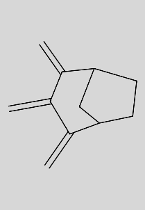 C=C1C(=C)C2CCC(C2)C1=C